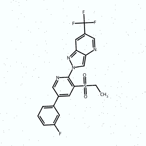 CCS(=O)(=O)c1cc(-c2cccc(F)c2)cnc1-n1cc2ncc(C(F)(F)F)cc2n1